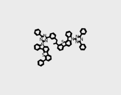 CC(Cc1cccc(-c2nc(-c3ccccc3)nc(-n3c4ccccc4c4c5sc6c(-c7ccccc7)cccc6c5ccc43)n2)c1)c1cccc2c1sc1c2ccc2c1c1ccccc1n2-c1nc(-c2ccccc2)nc(-c2ccccc2)n1